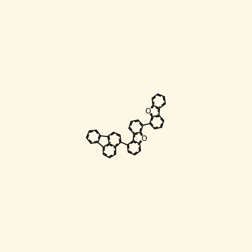 c1ccc2c(c1)-c1cccc3c(-c4cccc5oc6c(-c7cccc8c7oc7ccccc78)cccc6c45)ccc-2c13